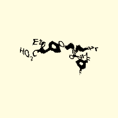 CCOC(Cc1ccc(OCCN(CCC(C)C)C(=O)Nc2ccc(F)cc2F)cc1)C(=O)O